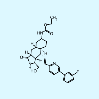 CCOC(=O)N[C@@H]1CC[C@@H]2[C@@H](C1)C[C@H]1C(=O)N[C@H](CO)[C@H]1[C@H]2/C=C/c1ccc(-c2cccc(F)c2)cn1